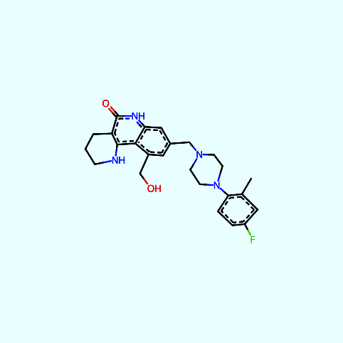 Cc1cc(F)ccc1N1CCN(Cc2cc(CO)c3c4c(c(=O)[nH]c3c2)CCCN4)CC1